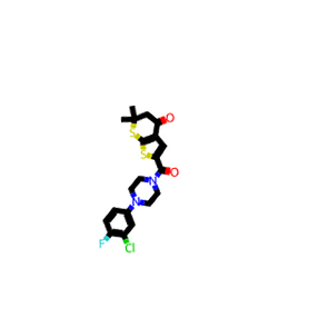 CC1(C)CC(=O)c2cc(C(=O)N3CCN(c4ccc(F)c(Cl)c4)CC3)sc2S1